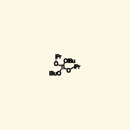 CC(C)C[O][Ti]([O]CC(C)C)([O]C(C)C)[O]C(C)C